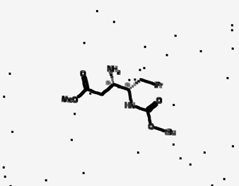 COC(=O)C[C@H](N)[C@H](CC(C)C)NC(=O)OC(C)(C)C